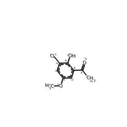 COc1cc(Cl)c(O)c(C(C)=O)c1